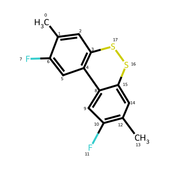 Cc1cc2c(cc1F)-c1cc(F)c(C)cc1SS2